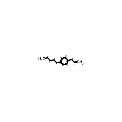 C=CCc1ccc(CCCCC)cc1